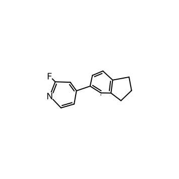 Fc1cc(-c2[c]c3c(cc2)CCC3)ccn1